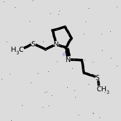 CSCC/N=C1\CCCN1CSC